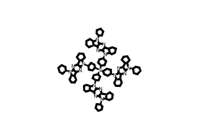 c1ccc(-n2c3ccccc3c3nc4c(nc32)c2ccccc2n4-c2ccc([Si](c3ccc(-n4c5ccccc5c5nc6c(nc54)c4ccccc4n6-c4ccccc4)cc3)(c3ccc(-n4c5ccccc5c5nc6c(nc54)c4ccccc4n6-c4ccccc4)cc3)c3ccc(-n4c5ccccc5c5nc6c(nc54)c4ccccc4n6-c4ccccc4)cc3)cc2)cc1